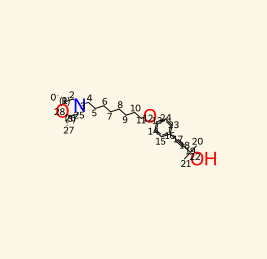 C[C@@H]1CN(CCCCCCCCOc2ccc(C#CC(C)(C)O)cc2)C[C@H](C)O1